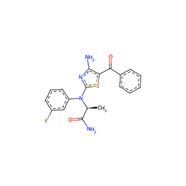 C[C@@H](C(N)=O)N(c1cccc(F)c1)c1nc(N)c(C(=O)c2ccccc2)s1